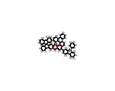 c1ccc(-c2ccccc2-c2c(-c3ccccc3)cccc2N(c2ccc(-c3ccc4c5ccccc5n(-c5ccccc5)c4c3)cc2)c2ccc3c(c2)C2(c4ccccc4-c4ccccc42)c2ccccc2-3)cc1